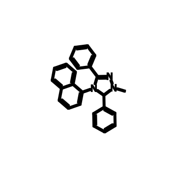 CN1N=C(c2ccccc2)N(c2cccc3ccccc23)C1c1ccccc1